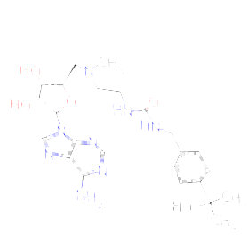 CN(CCNC(=O)NCc1ccc(C(C)(C)C)cc1)C[C@H]1OC(n2cnc3c(N)ncnc32)[C@H](O)[C@@H]1O